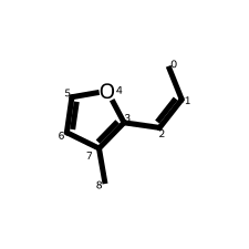 C/C=C\c1occc1C